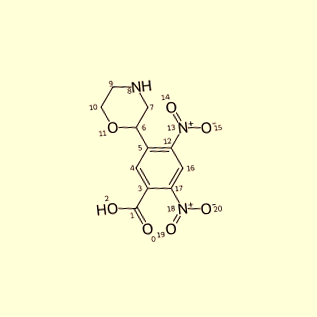 O=C(O)c1cc(C2CNCCO2)c([N+](=O)[O-])cc1[N+](=O)[O-]